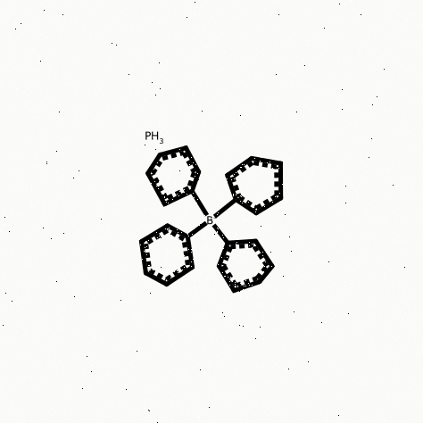 P.c1ccc([B-](c2ccccc2)(c2ccccc2)c2ccccc2)cc1